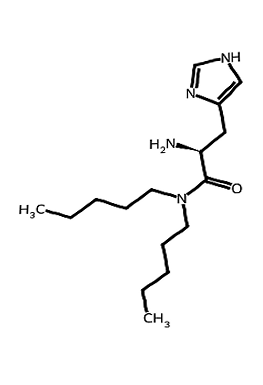 CCCCCN(CCCCC)C(=O)[C@@H](N)Cc1c[nH]cn1